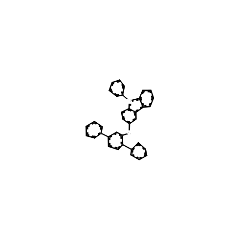 c1ccc(-c2ccc(-c3ccccc3)c(Nc3ccc4c(c3)c3ccccc3n4-c3ccccc3)c2)cc1